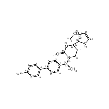 C[C@@H](c1ccc(-c2ccc(F)cc2)cc1)N1CC[C@](CC(=O)O)(C2CC=CS2)OC1=O